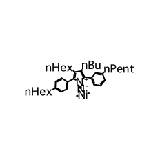 CCCCCCC1=C(c2ccc(CCCCCC)cc2)[N+](=[N-])C(c2cccc(CCCCC)c2)=C1CCCC.[CH3][Ni][CH3]